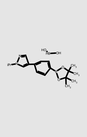 CC(C)n1cc(-c2ccc(B3OC(C)(C)C(C)(C)O3)cc2)cn1.OBO